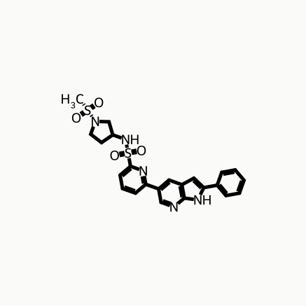 CS(=O)(=O)N1CCC(NS(=O)(=O)c2cccc(-c3cnc4[nH]c(-c5ccccc5)cc4c3)n2)C1